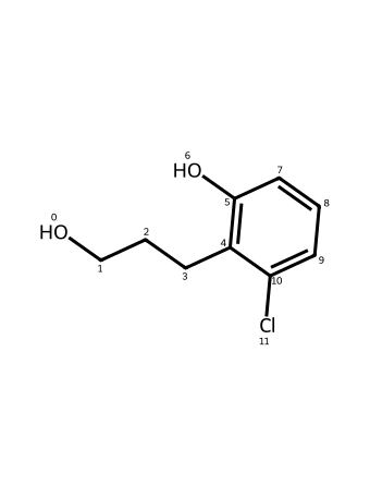 OCCCc1c(O)cccc1Cl